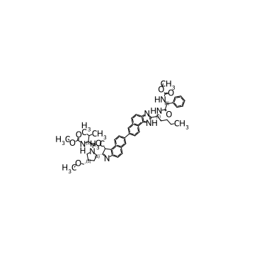 CCCC[C@H](NC(=O)[C@H](NC(=O)OC)c1ccccc1)c1nc2ccc3cc(-c4ccc5c6c(ccc5c4)N=C([C@@H]4C[C@H](COC)CN4C(=O)[C@@H](NC(=O)OC)C(C)C)C6C)ccc3c2[nH]1